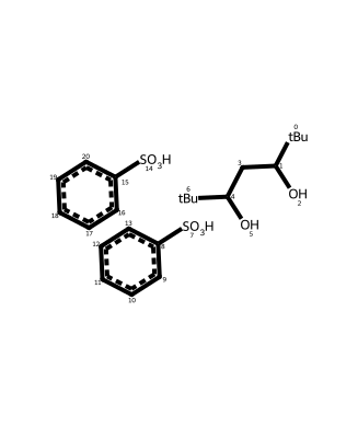 CC(C)(C)C(O)CC(O)C(C)(C)C.O=S(=O)(O)c1ccccc1.O=S(=O)(O)c1ccccc1